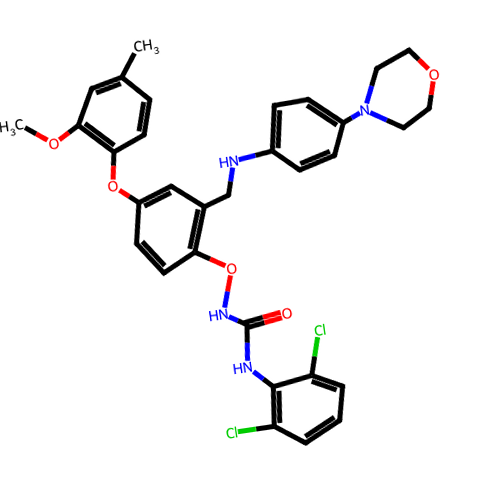 COc1cc(C)ccc1Oc1ccc(ONC(=O)Nc2c(Cl)cccc2Cl)c(CNc2ccc(N3CCOCC3)cc2)c1